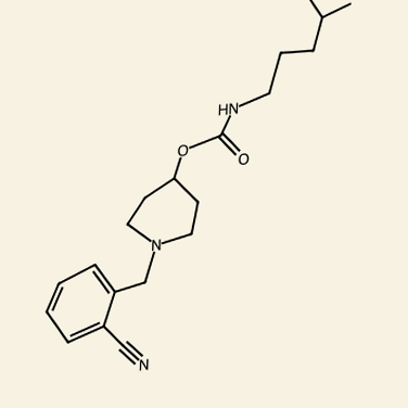 CC(C)CCCNC(=O)OC1CCN(Cc2ccccc2C#N)CC1